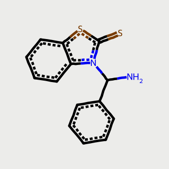 NC(c1ccccc1)n1c(=S)sc2ccccc21